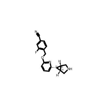 N#Cc1ccc(COc2cccc([C@@H]3[C@@H]4CNC[C@@H]43)n2)c(F)c1